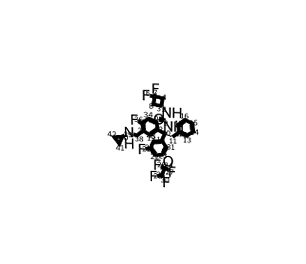 O=C(NC1CC(F)(F)C1)N[C@@](Cc1ccccc1)(c1cc(F)cc(OC(F)(F)C(F)F)c1)c1ccc(F)c(CNC2CC2)c1